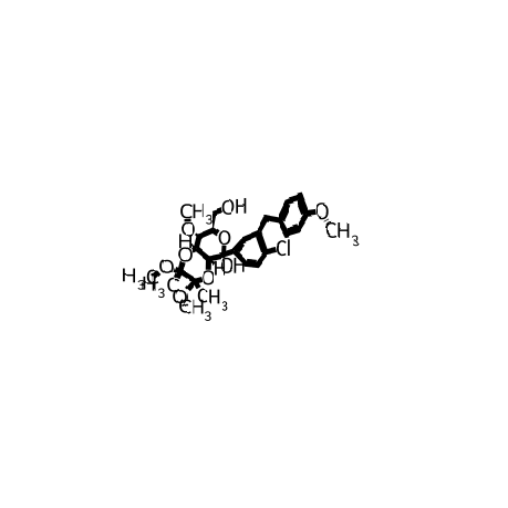 COc1ccc(Cc2cc([C@]3(O)O[C@H](CO)[C@@H](OC)[C@@H]4OC(C)(OC)C(C)(OC)O[C@H]43)ccc2Cl)cc1